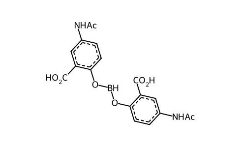 CC(=O)Nc1ccc(OBOc2ccc(NC(C)=O)cc2C(=O)O)c(C(=O)O)c1